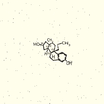 CCC[C@]12CC[C@]3(C)C[C@H](O)C[C@H]3[C@@H]1CCc1cc(O)ccc12